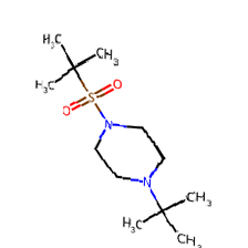 CC(C)(C)N1CCN(S(=O)(=O)C(C)(C)C)CC1